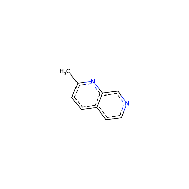 Cc1ccc2ccncc2n1